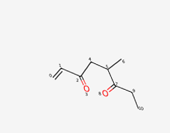 C=CC(=O)CC(C)C(=O)CC